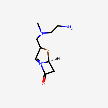 CN(CCN)CC1C=[N+]2C(=O)C[C@@H]2S1